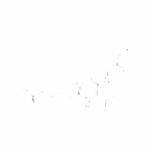 COC(=O)CCCCC(=O)NC(C(=O)NCC(=O)OC(C)(C)C)C(C)C